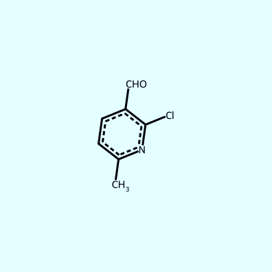 Cc1ccc(C=O)c(Cl)n1